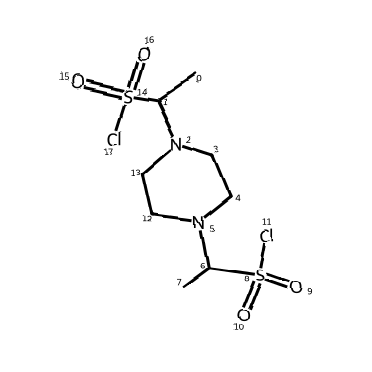 CC(N1CCN(C(C)S(=O)(=O)Cl)CC1)S(=O)(=O)Cl